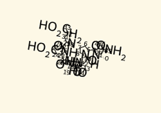 C[C@H](NC(=O)[C@@H]1CCCN1C(=O)[C@H](CO)NC(=O)[C@H](C)NC(=O)[C@H](CC(=O)O)NC(=O)[C@@H](N)CCC(=O)O)C(N)=O